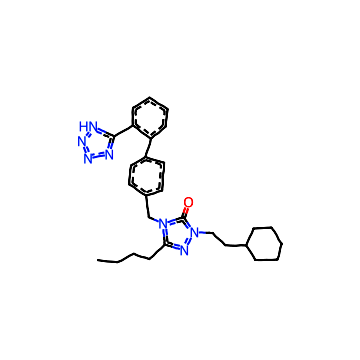 CCCCc1nn(CCC2CCCCC2)c(=O)n1Cc1ccc(-c2ccccc2-c2nnn[nH]2)cc1